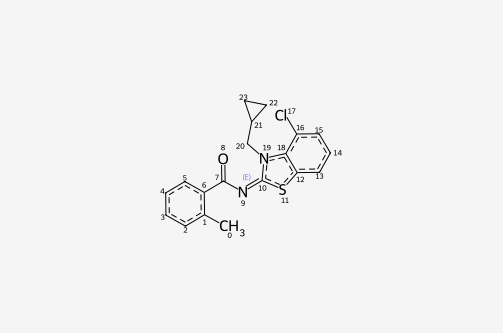 Cc1ccccc1C(=O)/N=c1/sc2cccc(Cl)c2n1CC1CC1